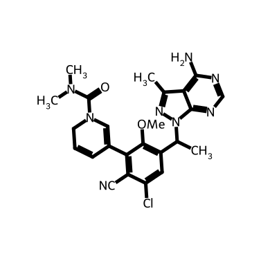 COc1c(C(C)n2nc(C)c3c(N)ncnc32)cc(Cl)c(C#N)c1C1=CN(C(=O)N(C)C)CC=C1